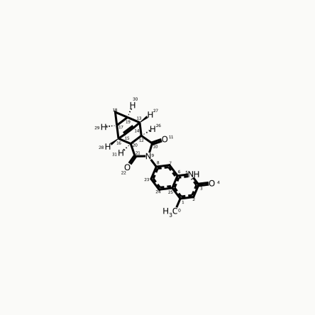 Cc1cc(=O)[nH]c2cc(N3C(=O)[C@@H]4[C@@H]5C=C[C@@H]([C@H]6C[C@@H]56)[C@@H]4C3=O)ccc12